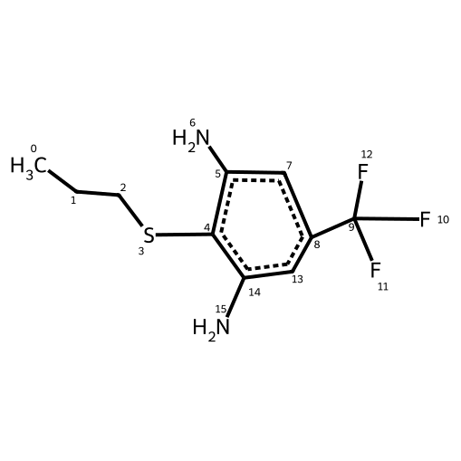 CCCSc1c(N)cc(C(F)(F)F)cc1N